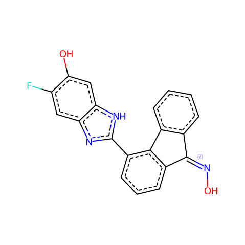 O/N=C1/c2ccccc2-c2c1cccc2-c1nc2cc(F)c(O)cc2[nH]1